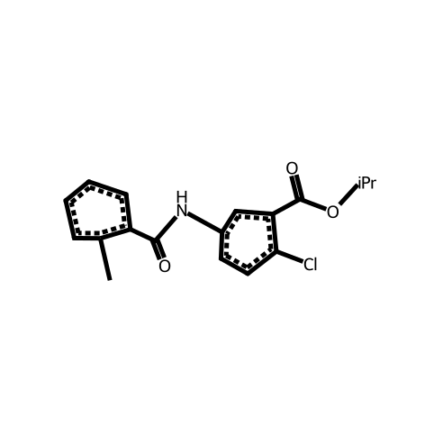 Cc1ccccc1C(=O)Nc1ccc(Cl)c(C(=O)OC(C)C)c1